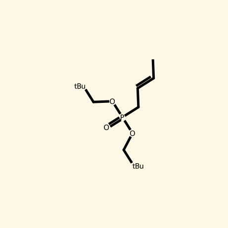 C/C=C/CP(=O)(OCC(C)(C)C)OCC(C)(C)C